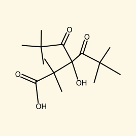 CC(C)(C)C(=O)C(O)(C(=O)C(C)(C)C)C(C)(C)C(=O)O